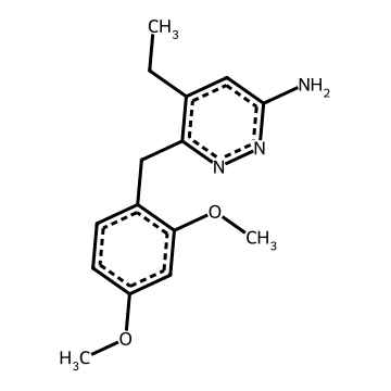 CCc1cc(N)nnc1Cc1ccc(OC)cc1OC